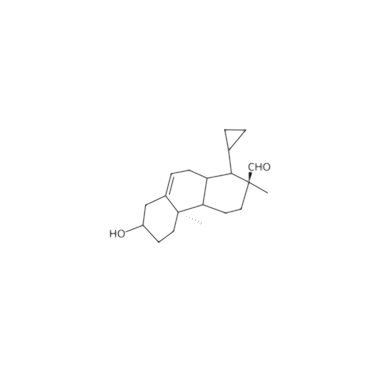 C[C@]1(C=O)CCC2C(CC=C3CC(O)CC[C@@]32C)C1C1CC1